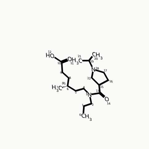 CCCN(CC[C@H](C)CCC(=O)O)C(=O)C1CCN(C(C)C)C1